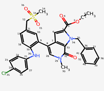 CCOC(=O)c1cc2c(-c3cc(CS(C)(=O)=O)ccc3Nc3ccc(Cl)cc3)cn(C)c(=O)c2n1Cc1ccccc1